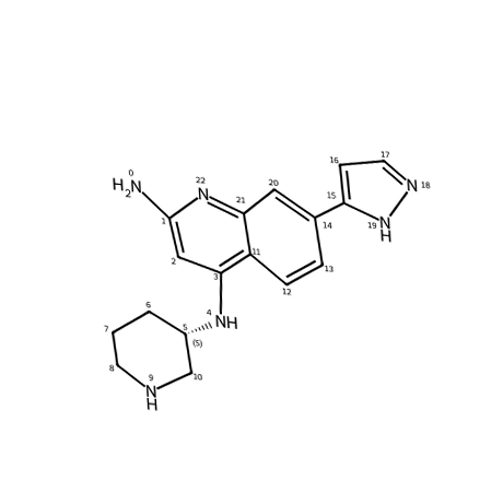 Nc1cc(N[C@H]2CCCNC2)c2ccc(-c3ccn[nH]3)cc2n1